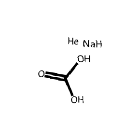 O=C(O)O.[He].[NaH]